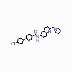 O=C(Nc1ccc2nc(CN3CCCC3)ccc2c1)c1ccc(-c2ccc(Cl)cc2)cc1